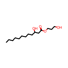 CCCCCCCCCC(O)CC(=O)OCCCO